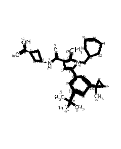 Cc1c(C(=O)N[C@H]2C[C@H](C(=O)O)C2)cc(-c2cc(C(C)(C)C)cc(C3(C)CC3)c2)n1CC1CCCCC1